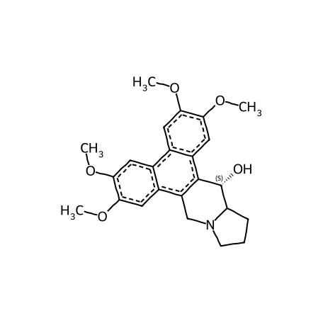 COc1cc2c3c(c4cc(OC)c(OC)cc4c2cc1OC)[C@H](O)C1CCCN1C3